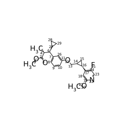 COC(=O)[C@@H](C)[C@H](c1cccc(OCC2C[C@H]2c2cc(OC)ncc2F)c1)C1CC1